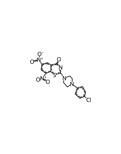 O=c1nc(N2CCN(c3ccc(Cl)cc3)CC2)sc2c([N+](=O)[O-])cc([N+](=O)[O-])cc12